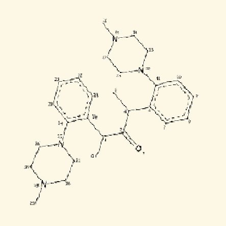 CC(C(=O)C(C)c1ccccc1N1CCN(C)CC1)c1ccccc1N1CCN(C)CC1